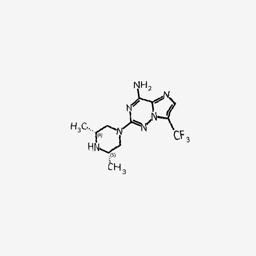 C[C@@H]1CN(c2nc(N)c3ncc(C(F)(F)F)n3n2)C[C@H](C)N1